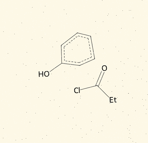 CCC(=O)Cl.Oc1ccccc1